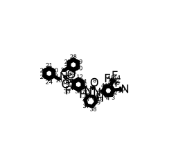 N#Cc1ccc(N2C(=O)N(c3ccc(S(=O)(=O)N(Cc4ccccc4)Cc4ccccc4)c(F)c3)[C@H]3CCCC[C@@H]32)cc1C(F)(F)F